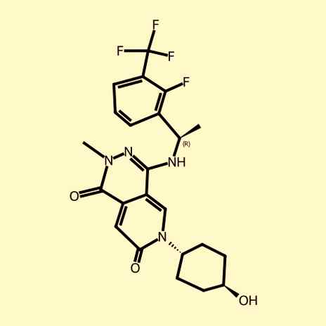 C[C@@H](Nc1nn(C)c(=O)c2cc(=O)n([C@H]3CC[C@H](O)CC3)cc12)c1cccc(C(F)(F)F)c1F